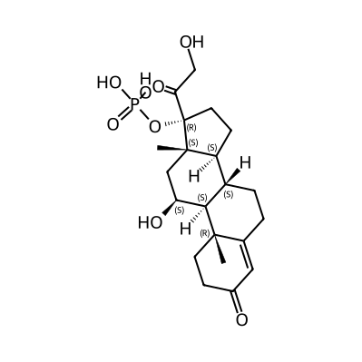 C[C@]12CCC(=O)C=C1CC[C@@H]1[C@@H]2[C@@H](O)C[C@@]2(C)[C@H]1CC[C@]2(OP(=O)(O)O)C(=O)CO